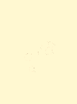 O=C(Cc1cc(F)cc(-c2cnsc2)c1)Nc1ncnc2nc(C3CCCC3)[nH]c12